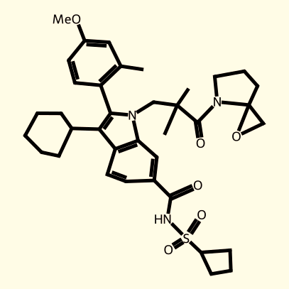 COc1ccc(-c2c(C3CCCCC3)c3ccc(C(=O)NS(=O)(=O)C4CCC4)cc3n2CC(C)(C)C(=O)N2CCCC23CO3)c(C)c1